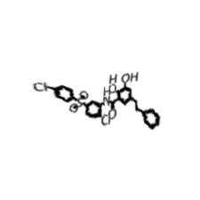 O=C(Nc1cc(S(=O)(=O)c2ccc(Cl)cc2)ccc1Cl)c1cc(CCc2ccccc2)cc(O)c1O